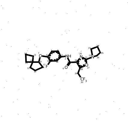 O=C(Nc1ccc(OC2CCCC23CCC3)c(F)c1)c1nc(N2CCCC2)oc1CC(F)(F)F